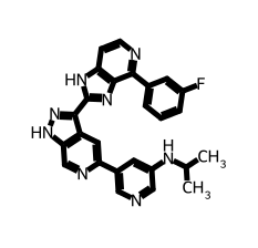 CC(C)Nc1cncc(-c2cc3c(-c4nc5c(-c6cccc(F)c6)nccc5[nH]4)n[nH]c3cn2)c1